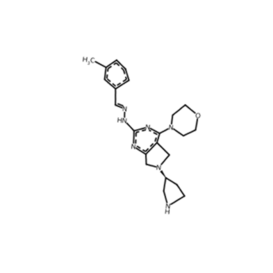 Cc1cccc(/C=N/Nc2nc3c(c(N4CCOCC4)n2)CN([C@H]2CCNC2)C3)c1